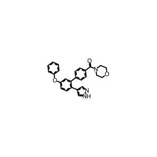 O=C(c1ccc(-c2cc(Oc3ccccc3)ccc2-c2cn[nH]c2)cc1)N1CCOCC1